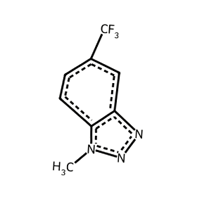 Cn1nnc2cc(C(F)(F)F)ccc21